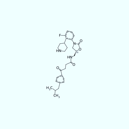 CC(C)Cc1ccc(C(=O)CCC(=O)NC[C@H]2CN(c3cccc(F)c3C3CCNCC3)C(=O)O2)cc1